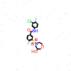 O=C(Nc1ccc(F)c(Cl)c1)c1ccc(F)c(S(=O)(=O)N2CCOC[C@@H](O)C2)c1